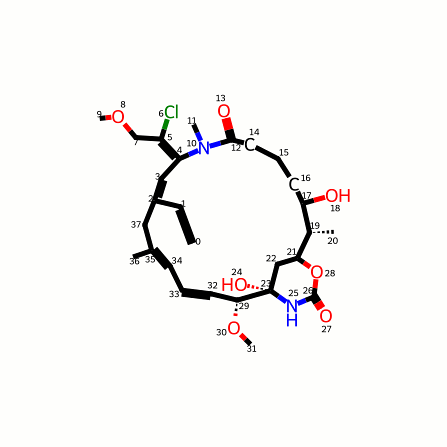 C=C/C1=C\C(=C(\Cl)COC)N(C)C(=O)CCCC(O)[C@H](C)C2C[C@@](O)(NC(=O)O2)[C@H](OC)/C=C/C=C(\C)C1